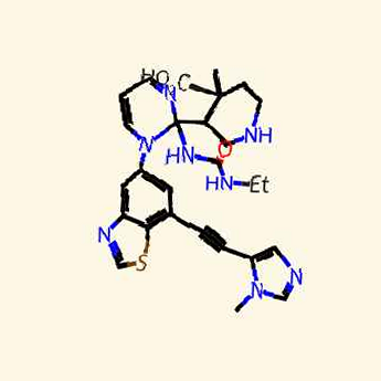 CCNC(=O)NC1(C2CNCCC2(C)C(=O)O)N=CC=CN1c1cc(C#Cc2cncn2C)c2scnc2c1